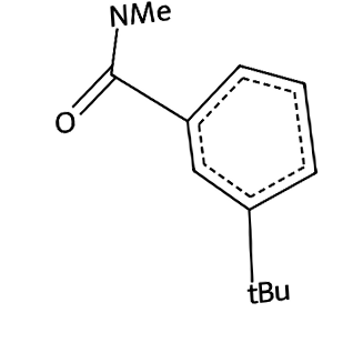 CNC(=O)c1cccc(C(C)(C)C)c1